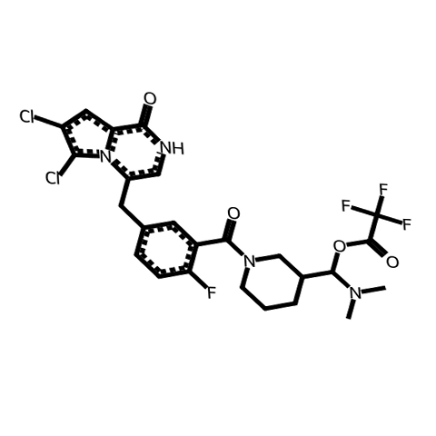 CN(C)C(OC(=O)C(F)(F)F)C1CCCN(C(=O)c2cc(Cc3c[nH]c(=O)c4cc(Cl)c(Cl)n34)ccc2F)C1